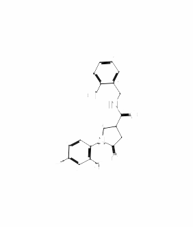 O=C(NCc1ccccc1Cl)C1CC(=O)N(c2ccc(F)cc2F)C1